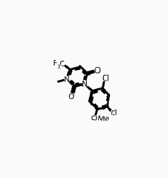 COc1cc(-n2c(=O)cc(C(F)(F)F)n(C)c2=O)c(Cl)cc1Cl